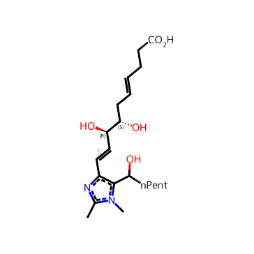 CCCCCC(O)c1c(/C=C/[C@@H](O)[C@@H](O)CC=CCCC(=O)O)nc(C)n1C